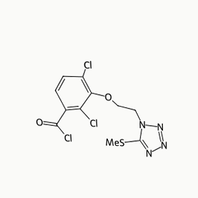 CSc1nnnn1CCOc1c(Cl)ccc(C(=O)Cl)c1Cl